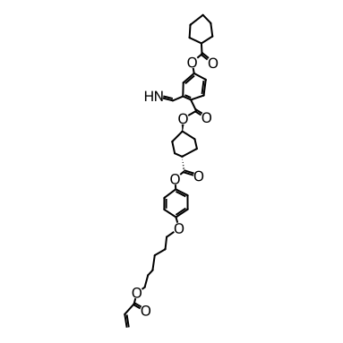 C=CC(=O)OCCCCCCOc1ccc(OC(=O)[C@H]2CC[C@H](OC(=O)c3ccc(OC(=O)C4CCCCC4)cc3C=N)CC2)cc1